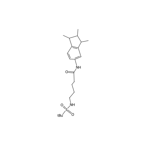 CC1c2ccc(NC(=O)CCCCNS(=O)(=O)C(C)(C)C)cc2C(C)C1C